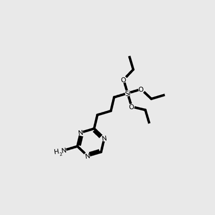 CCO[Si](CCCc1ncnc(N)n1)(OCC)OCC